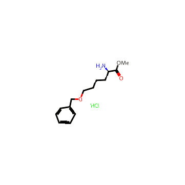 COC(=O)[C@H](N)CCCCOCc1ccccc1.Cl